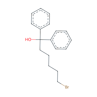 OC(CCCCCBr)(c1ccccc1)c1ccccc1